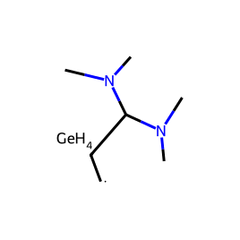 [CH2]CC(N(C)C)N(C)C.[GeH4]